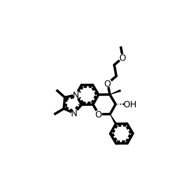 COCCO[C@@]1(C)c2ccn3c(C)c(C)nc3c2O[C@H](c2ccccc2)[C@H]1O